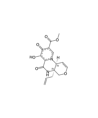 C=CC[C@@]12COC=C[C@@H]1n1cc(C(=O)OC)c(=O)c(O)c1C(=O)N2